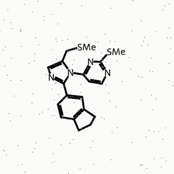 CSCc1cnc(-c2ccc3c(c2)CCC3)n1-c1ccnc(SC)n1